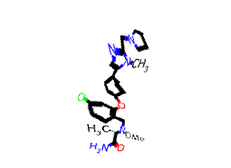 CON(Cc1ccc(Cl)cc1Oc1ccc(-c2cnc(CN3CCCC3)n2C)cc1)[C@@H](C)C(N)=O